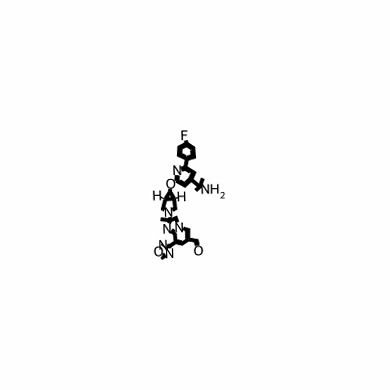 CC(C)(N)c1cc(OC2[C@H]3CN(C4(C)CN5C=C(C=O)C=C(c6ncon6)C5=N4)C[C@@H]23)nc(-c2ccc(F)cc2)c1